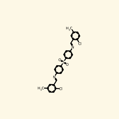 Cc1ccc(Cl)c(/C=N/c2ccc(S(=O)(=O)c3ccc(/N=C/c4cc(C)ccc4Cl)cc3)cc2)c1